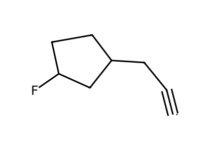 [C]#CCC1CCC(F)C1